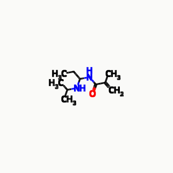 C=C(C)C(=O)NC(CC)NC(C)C